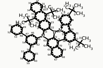 CC(C)(C)c1ccc2c(c1)c1cc(C(C)(C)C)cc3c1n2B1c2cc4c(C(C)(C)C)c5ccccc5c(C(C)(C)C)c4cc2N(c2cc(-c4ccccc4)cc(-c4ccccc4)c2)c2cc4ccccc4c-3c21